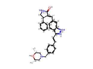 C[C@@H]1CN(Cc2ccc(/C=C/c3n[nH]c4cc(/C=C5/C(=O)NCC5c5ccccc5)ccc34)cc2)C[C@H](C)O1